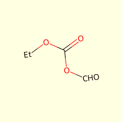 CCOC(=O)OC=O